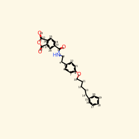 O=C(NCCc1ccc(OCCCCCc2ccccc2)cc1)c1ccc2c(c1)C(=O)OC2=O